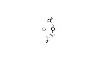 C1CCNCC1.O=C(NCc1cccc2[nH]ccc12)c1ccc(C(=O)N[C@@H](CNC(=O)c2cccs2)C(=O)O)c(Cl)c1